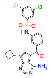 Nc1ncnc2c1c(C(=O)c1cccc(NS(=O)(=O)c3cc(Cl)cc(Cl)c3)c1)cn2C1CCC1